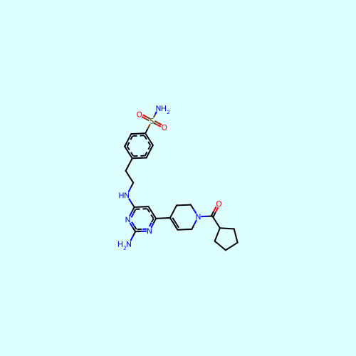 Nc1nc(NCCc2ccc(S(N)(=O)=O)cc2)cc(C2=CCN(C(=O)C3CCCC3)CC2)n1